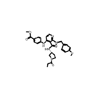 CCC(=O)N1CC[C@@H](Nc2nn(Cc3ccc(OC)cc3)c3nccc(Nc4ccc(C(=O)OC)cc4)c23)C1